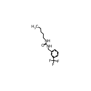 CCCCCNC(=O)NCc1cccc(C(F)(F)F)c1